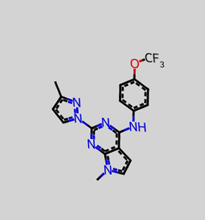 Cc1ccn(-c2nc(Nc3ccc(OC(F)(F)F)cc3)c3ccn(C)c3n2)n1